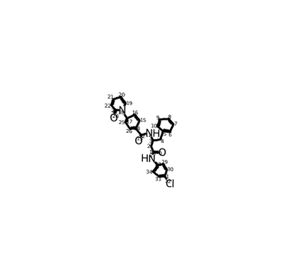 O=C(CC(Cc1ccccc1)NC(=O)c1ccc(-n2ccccc2=O)cc1)Nc1ccc(Cl)cc1